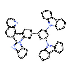 c1cnc2c(c1)ccc1c2c2ccc(-c3cc(-n4c5ccccc5c5ccccc54)cc(-n4c5ccccc5c5ccccc54)c3)cc2n2c3ccccc3nc12